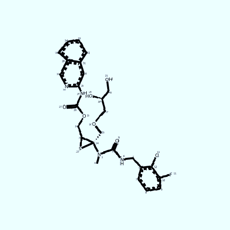 CN(C(=O)NCc1cccc(F)c1Cl)[C@@]1(COC[C@@H](O)CO)SC1COC(=O)Nc1cc2ccccc2cn1